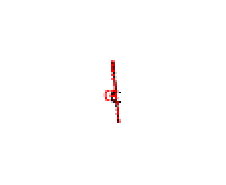 CCCCCCCCCCCCCCCCCCCCC(CC=O)CCCCCCCCCCCCCCCCCC